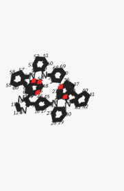 c1ccc(N(c2ccc(-c3nccnc3-c3ccc(N(c4ccccc4)c4ccccc4-n4c5ccccc5c5ccccc54)cc3)cc2)c2ccccc2-n2c3ccccc3c3ccccc32)cc1